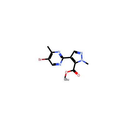 Cc1nc(-c2cnn(C)c2C(=O)OC(C)(C)C)ncc1Br